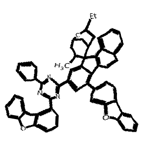 CCC1CC2CC(C)C3(c4cc(-c5nc(-c6ccccc6)nc(-c6cccc7oc8ccccc8c67)n5)cc(-c5ccc6c(c5)oc5ccccc56)c4-c4ccc5ccccc5c43)C(C1)C2